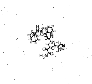 Cn1nncc1C(=O)N[C@@H](CCC(=O)C(N)=O)C(=O)Nc1cccn(CC(=O)NC2C3CC4CC(C3)CC2C4)c1=O